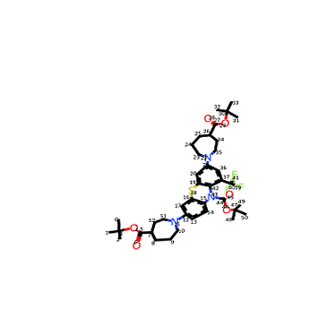 CC(C)(C)OC(=O)C1CCCN(c2ccc3c(c2)Sc2cc(N4CCCC(C(=O)OC(C)(C)C)CC4)cc(C(F)(F)F)c2N3C(=O)OC(C)(C)C)CC1